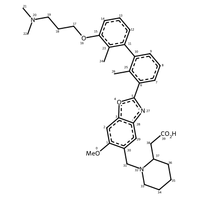 COc1cc2oc(-c3cccc(-c4cccc(OCCCN(C)C)c4C)c3C)nc2cc1CN1CCCCC1CC(=O)O